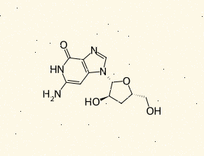 Nc1cc2c(ncn2[C@@H]2O[C@H](CO)C[C@H]2O)c(=O)[nH]1